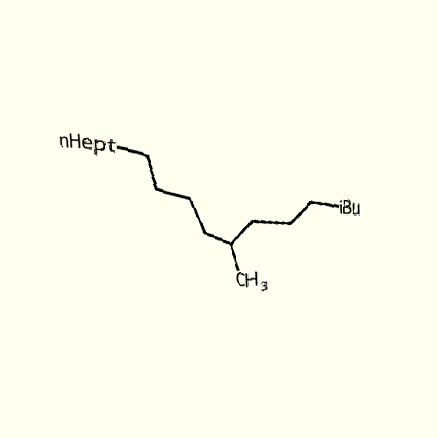 CCCCCCCCCCCC(C)CCCC(C)CC